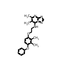 Cc1nc2ncnn2c(NCCOc2ccc(Oc3ccccc3)c(C)c2C)c1C